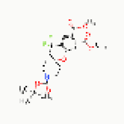 COC(=O)c1cc2c(cc1C(=O)OC)C(F)(F)CC1(CCN(C(=O)OC(C)(C)C)CC1)O2